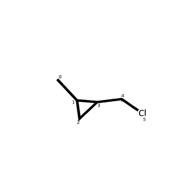 CC1CC1[CH]Cl